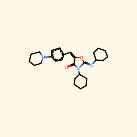 O=C1/C(=C\c2ccc(N3CCCCC3)cc2)OC(=NC2CCCCC2)N1C1CCCCC1